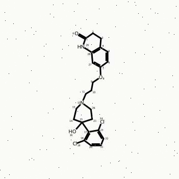 O=C1CCc2ccc(OCCCN3CCC(O)(c4c(Cl)cccc4Cl)CC3)cc2N1